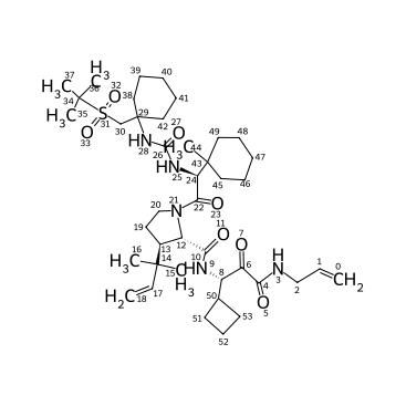 C=CCNC(=O)C(=O)[C@@H](NC(=O)[C@@H]1[C@@H](C(C)(C)C=C)CCN1C(=O)[C@@H](NC(=O)NC1(CS(=O)(=O)C(C)(C)C)CCCCC1)C1(C)CCCCC1)C1CCC1